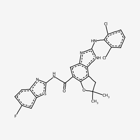 CC1(C)Cc2c(c(C(=O)Nc3nc4ccc(F)cc4s3)cc3nc(Nc4c(Cl)cccc4Cl)[nH]c23)O1